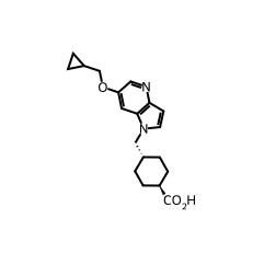 O=C(O)[C@H]1CC[C@H](Cn2ccc3ncc(OCC4CC4)cc32)CC1